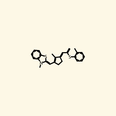 C=C(/C=C1\CCC(/C=C2\Sc3ccccc3N2C)=C1C)Sc1ccccc1C